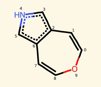 C1=Cc2c[nH]cc2C=CO1